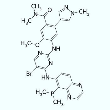 COc1cc(C(=O)N(C)C)c(-c2cnn(C)c2)cc1Nc1ncc(Br)c(Nc2ccc3nccnc3c2P(C)C)n1